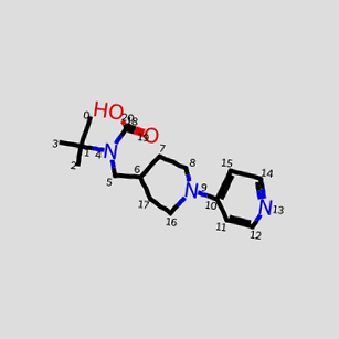 CC(C)(C)N(CC1CCN(c2ccncc2)CC1)C(=O)O